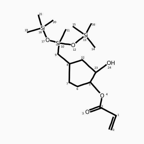 C=CC(=O)OC1CCC(C[Si](C)(O[Si](C)(C)C)O[Si](C)(C)C)CC1O